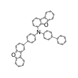 c1ccc(-c2ccc(N(c3ccc(-c4ccc5oc6ccccc6c5c4)cc3)c3cccc4c3oc3ccccc34)cc2)cc1